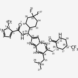 CCn1nccc1C(=O)N[C@H](c1cn2nc(C[C@H]3C[C@@H](C(F)(F)F)CNC3=O)c(CN(C)C)nc2n1)C1CCC(F)(F)CC1